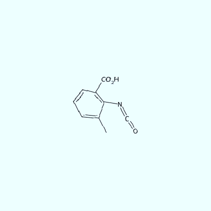 Cc1cccc(C(=O)O)c1N=C=O